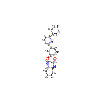 c1ccc(-c2cccc(-c3ccc4c(c3)Oc3nc5ccccc5nc3O4)n2)cc1